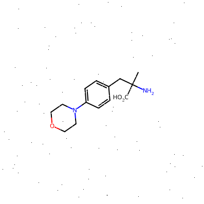 CC(N)(Cc1ccc(N2CCOCC2)cc1)C(=O)O